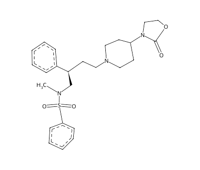 CN(C[C@H](CCN1CCC(N2CCOC2=O)CC1)c1ccccc1)S(=O)(=O)c1ccccc1